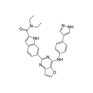 CCN(CC)C(=O)c1cc2ccc(-c3nc(Nc4ccc(-c5cn[nH]c5)cc4)c4occc4n3)cc2[nH]1